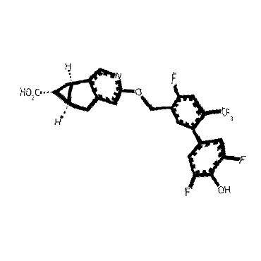 O=C(O)[C@H]1[C@@H]2Cc3cc(OCc4cc(-c5cc(F)c(O)c(F)c5)c(C(F)(F)F)cc4F)ncc3[C@@H]21